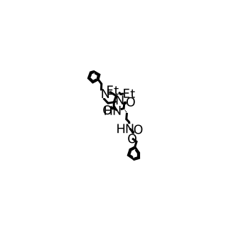 CCC(CC)N1C(=O)[C@H](CCCNC(=O)OCc2ccccc2)NC(=O)C12CCN(CCc1ccccc1)CC2